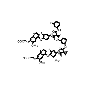 COc1cc2c(Oc3ccc(NC(=O)C4(C(=O)Nc5cccc(Cl)c5)CC4)cc3F)ccnc2cc1OCC(=O)[O-].COc1cc2c(Oc3ccc(NC(=O)C4(C(=O)Nc5cccc(Cl)c5)CC4)cc3F)ccnc2cc1OCC(=O)[O-].[Mg+2]